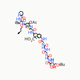 C#CCCCON(C(=O)[C@@H](NC(=O)[C@H]1CCCCN1C)[C@@H](C)CC)[C@H](C[C@@H](OC(C)=O)c1nc(C(=O)N[C@@H](Cc2ccc(NC(=O)CNC(=O)CNC(=O)CNC(=O)CNC(=O)[C@H](CO)NC(=O)COC(C)CC)cc2)CC(C)(C)C(=O)O)cs1)C(C)C